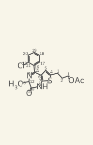 CC(=O)OCCCc1cc2c(s1)NC(=O)C(C)N=C2c1ccccc1Cl